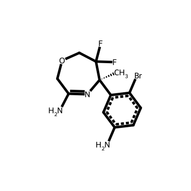 C[C@]1(c2cc(N)ccc2Br)N=C(N)COCC1(F)F